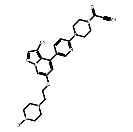 C#CC(=O)N1CCN(c2ccc(-c3cc(OCCN4CCN(CC)CC4)cn4ncc(C#N)c34)cn2)CC1